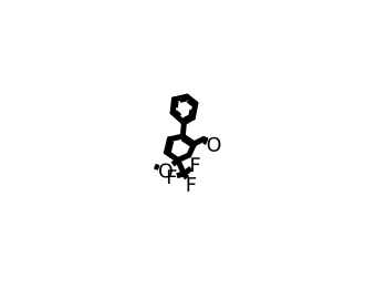 COC1(C(F)(F)F)C=CC(c2ccccc2)=C(C=O)C1